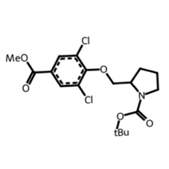 COC(=O)c1cc(Cl)c(OCC2CCCN2C(=O)OC(C)(C)C)c(Cl)c1